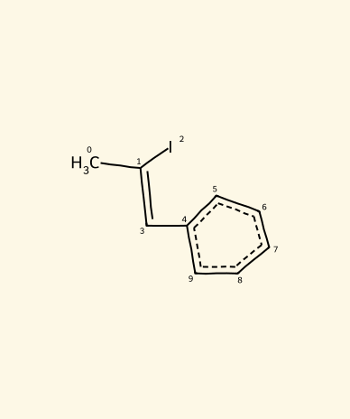 CC(I)=Cc1ccccc1